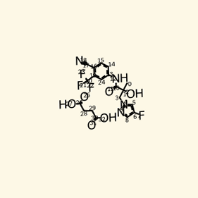 CC(O)(Cn1cc(F)cn1)C(=O)Nc1ccc(C#N)c(C(F)(F)F)c1.O=C(O)CCC(=O)O